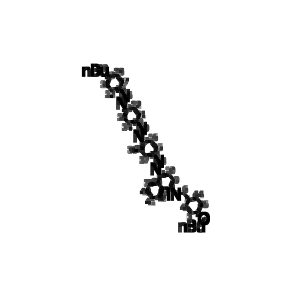 CCCCOc1ccc(CNc2ccc(N=Nc3ccc(N=Nc4ccc(N=Nc5ccc(CCCC)cc5)cc4)c(C)c3)c3ccccc23)cc1